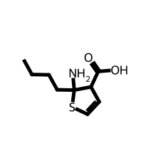 CCCCC1(N)SC=CC1C(=O)O